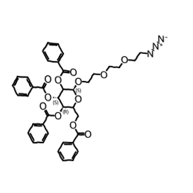 [N-]=[N+]=NCCOCCOCCO[C@H]1OC(COC(=O)c2ccccc2)[C@@H](OC(=O)c2ccccc2)[C@H](OC(=O)c2ccccc2)C1OC(=O)c1ccccc1